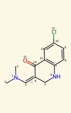 CN(C)/C=C1/CNc2ccc(Cl)cc2C1=O